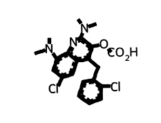 CN(C)c1nc2c(N(C)C)cc(Cl)cc2c(Cc2ccccc2Cl)c1OC(=O)O